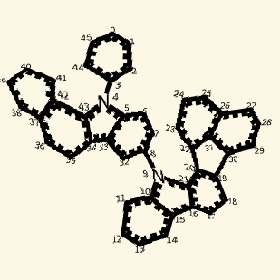 c1ccc(-n2c3ccc(-n4c5ccccc5c5ccc6c(c54)-c4cccc5cccc-6c45)cc3c3ccc4ccccc4c32)cc1